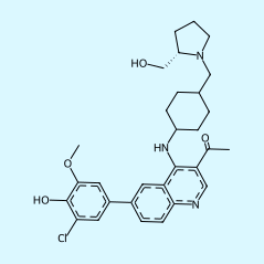 COc1cc(-c2ccc3ncc(C(C)=O)c(NC4CCC(CN5CCC[C@H]5CO)CC4)c3c2)cc(Cl)c1O